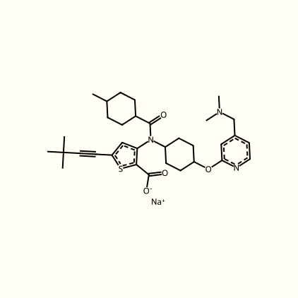 CC1CCC(C(=O)N(c2cc(C#CC(C)(C)C)sc2C(=O)[O-])C2CCC(Oc3cc(CN(C)C)ccn3)CC2)CC1.[Na+]